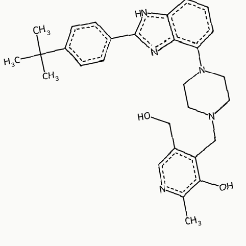 Cc1ncc(CO)c(CN2CCN(c3cccc4[nH]c(-c5ccc(C(C)(C)C)cc5)nc34)CC2)c1O